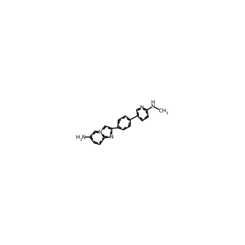 CNc1ccc(-c2ccc(-c3cn4cc(N)ccc4n3)cc2)cn1